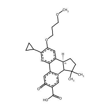 COCCCOc1cc2c(nc1C1CC1)-c1cc(=O)c(C(=O)O)cn1C1[C@@H]2CCC1(C)C